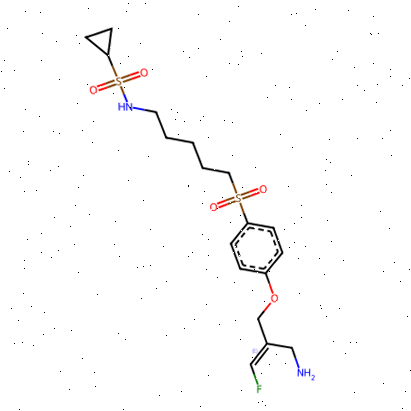 NC/C(=C\F)COc1ccc(S(=O)(=O)CCCCCNS(=O)(=O)C2CC2)cc1